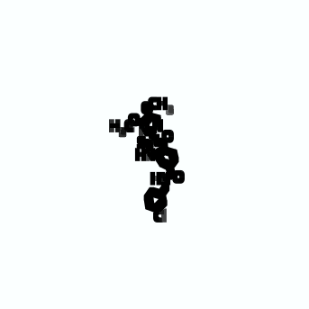 COc1cnc(-n2c(=S)[nH]c3cc(C(=O)NCc4cccc(Cl)c4)ccc3c2=O)nc1OC